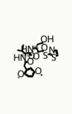 COc1ccc(OC)c(CC(=O)N[C@H](C(=O)N[C@@H](CC(=O)O)C(=O)CSc2nccs2)C(C)C)c1